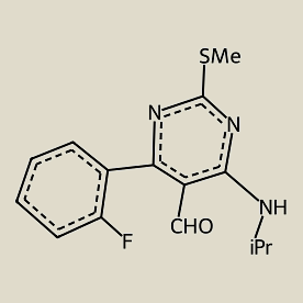 CSc1nc(NC(C)C)c(C=O)c(-c2ccccc2F)n1